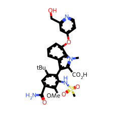 COc1c(C(N)=O)cc(C(C)(C)C)c(-c2c(C(=O)O)n(C)c3c(Oc4ccnc(CO)c4)cccc23)c1NS(C)(=O)=O